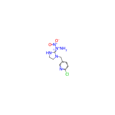 N/[N+](=C1/NCCN1Cc1ccc(Cl)nc1)[N+](=O)[O-]